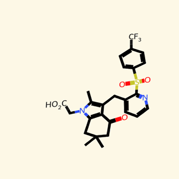 Cc1c(Cc2cccnc2S(=O)(=O)c2ccc(C(F)(F)F)cc2)c2c(n1CC(=O)O)CC(C)(C)CC2=O